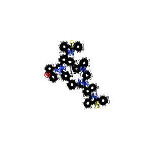 c1cc(-c2ccc(-c3nc(-c4ccc(-c5nc6c7ccccc7sc6c6ccccc56)c5ccccc45)cc(-c4cccc5oc6ccccc6c45)n3)cc2)cc(-c2cc(-c3ccc(-c4nc5c6ccccc6sc5c5ccccc45)c4ccccc34)nc(-c3cccc(-n4c5ccccc5c5ccccc54)c3)n2)c1